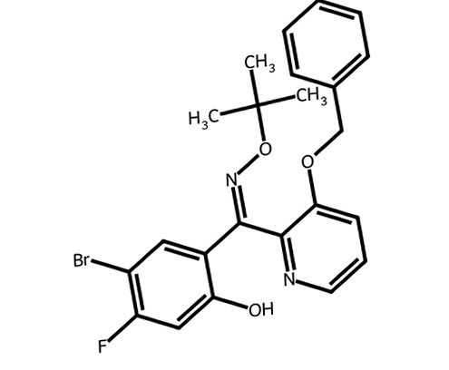 CC(C)(C)ON=C(c1cc(Br)c(F)cc1O)c1ncccc1OCc1ccccc1